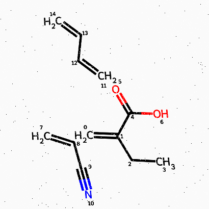 C=C(CC)C(=O)O.C=CC#N.C=CC=C